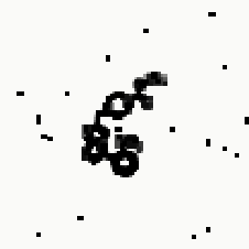 CC(C)(C)OC(=O)N1CCN(CC2CN3C(c4ccccc4[N+](=O)[O-])=CSC3=N2)CC1